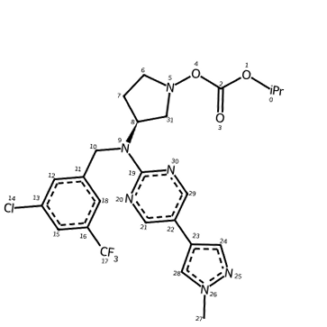 CC(C)OC(=O)ON1CC[C@H](N(Cc2cc(Cl)cc(C(F)(F)F)c2)c2ncc(-c3cnn(C)c3)cn2)C1